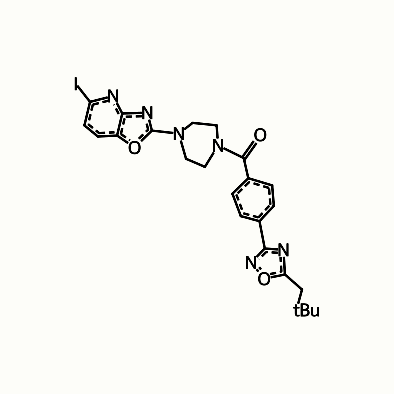 CC(C)(C)Cc1nc(-c2ccc(C(=O)N3CCN(c4nc5nc(I)ccc5o4)CC3)cc2)no1